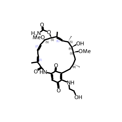 CO[C@H]1/C=C\C=C(/C)C(=O)NC2=CC(=O)C(NCCO)=C(C[C@@H](C)C[C@H](OC)[C@H](O)[C@@H](C)/C=C(\C)[C@@H]1OC(N)=O)C2=O